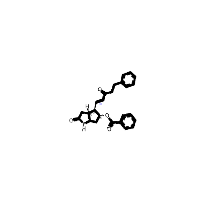 O=C(/C=C/[C@H]1[C@H](OC(=O)c2ccccc2)CC2PC(=O)C[C@@H]21)CCc1ccccc1